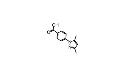 Cc1cc(C)n(-c2ccc(C(=O)O)cc2)n1